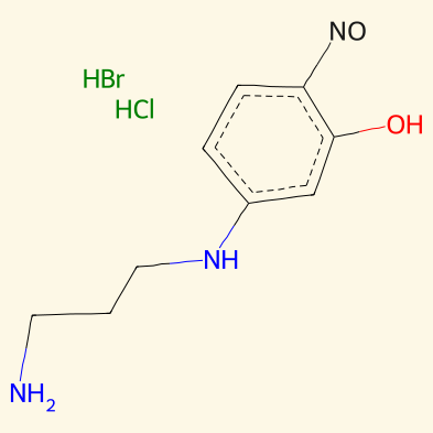 Br.Cl.NCCCNc1ccc(N=O)c(O)c1